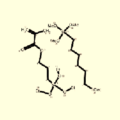 C=C(C)C(=O)OCCC[Si](OCC)(OCC)OCC.CCCCCCCCCCCCCCCC[Si](OC)(OC)OC